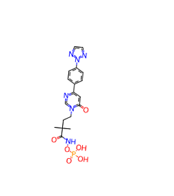 CC(C)(CCn1cnc(-c2ccc(-n3nccn3)cc2)cc1=O)C(=O)NOP(=O)(O)O